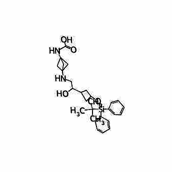 CC(C)(C)[Si](OC1CC(C(O)CNC23CC(NC(=O)O)(C2)C3)C1)(c1ccccc1)c1ccccc1